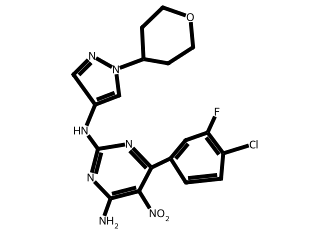 Nc1nc(Nc2cnn(C3CCOCC3)c2)nc(-c2ccc(Cl)c(F)c2)c1[N+](=O)[O-]